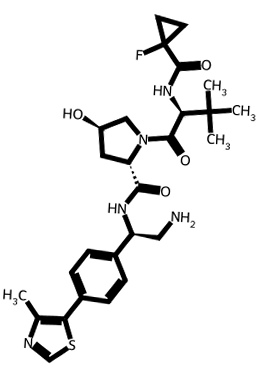 Cc1ncsc1-c1ccc([C@H](CN)NC(=O)[C@@H]2C[C@@H](O)CN2C(=O)[C@@H](NC(=O)C2(F)CC2)C(C)(C)C)cc1